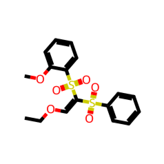 CCOC=C(S(=O)(=O)c1ccccc1)S(=O)(=O)c1ccccc1OC